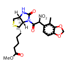 COC(=O)CCCC[C@@H]1SC[C@@H]2NC(=O)N(C(=O)C(c3ccc4c(c3C)OCO4)[N+](=O)[O-])[C@@H]21